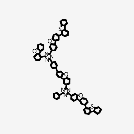 c1ccc(-c2nc(-c3ccc4c(c3)oc3ccc(-c5cccc6c5sc5ccccc56)cc34)nc(-c3ccc4oc5cc(-c6ccc(-c7nc(-c8ccc9c(c8)oc8ccc(-c%10cccc%11c%10sc%10ccccc%10%11)cc89)nc(-c8cccc9oc%10ccccc%10c89)n7)cc6)ccc5c4c3)n2)cc1